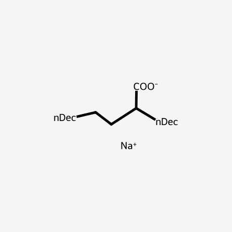 CCCCCCCCCCCCC(CCCCCCCCCC)C(=O)[O-].[Na+]